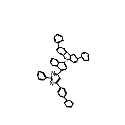 c1ccc(-c2ccc(-c3cc(-c4ccc(-n5c6ccc(-c7ccccc7)cc6c6cc(-c7ccccc7)ccc65)c5ccccc45)nc(-c4ccccc4)n3)cc2)cc1